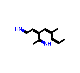 C\C=C/C(C)=C\C(=C\C=N)C(C)=N